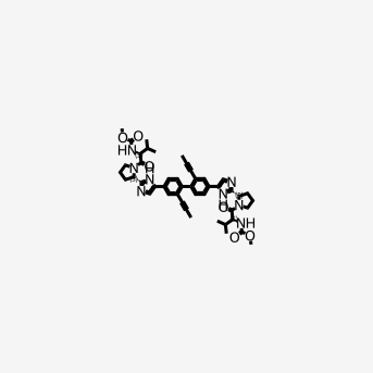 CC#Cc1cc(-c2cnc([C@@H]3CCCN3C(=O)[C@@H](NC(=O)OC)C(C)C)[nH]2)ccc1-c1ccc(-c2cnc([C@@H]3CCCN3C(=O)[C@@H](NC(=O)OC)C(C)C)[nH]2)cc1C#CC